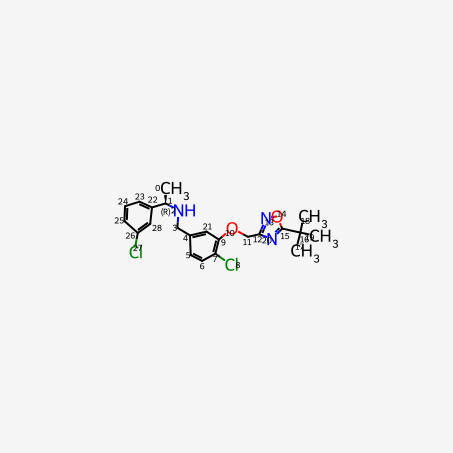 C[C@@H](NCc1ccc(Cl)c(OCc2noc(C(C)(C)C)n2)c1)c1cccc(Cl)c1